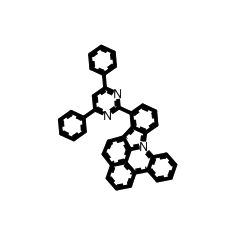 c1ccc(-c2cc(-c3ccccc3)nc(-c3cccc4c3c3ccc5cccc6c7ccccc7n4c3c56)n2)cc1